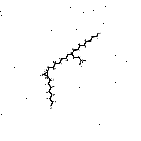 CCCCCCCCCC(CCCCCCCC1CC1CCCCCCCC)CCN(C)C